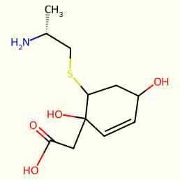 C[C@@H](N)CSC1CC(O)C=CC1(O)CC(=O)O